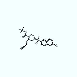 CC(C)(C)OC(=O)N1CCN(S(=O)(=O)c2ccc3cc(Cl)ccc3c2)CC1CCC#N